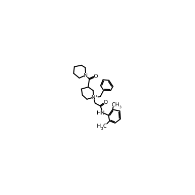 Cc1cccc(C)c1NC(=O)C[N+]1(Cc2ccccc2)CCCC(C(=O)N2CCCCC2)C1